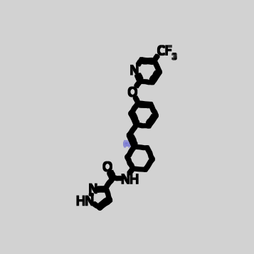 O=C(NC1CCC/C(=C\c2cccc(Oc3ccc(C(F)(F)F)cn3)c2)C1)c1cc[nH]n1